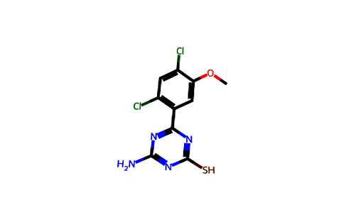 COc1cc(-c2nc(N)nc(S)n2)c(Cl)cc1Cl